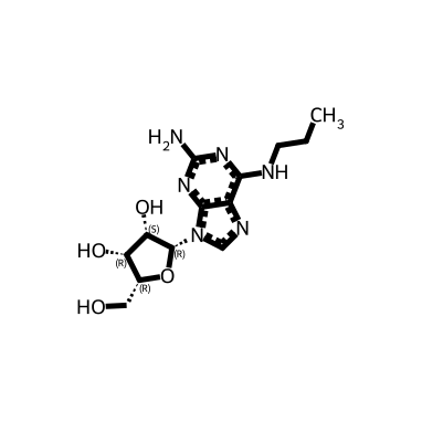 CCCNc1nc(N)nc2c1ncn2[C@@H]1O[C@H](CO)[C@H](O)[C@@H]1O